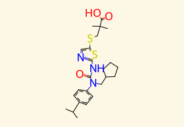 CC(C)c1ccc(N(CC2CCCC2)C(=O)Nc2ncc(SCC(C)(C)C(=O)O)s2)cc1